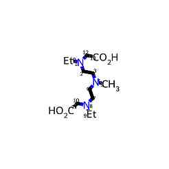 CCN(CCN(C)CCN(CC)CC(=O)O)CC(=O)O